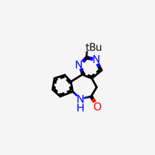 CC(C)(C)c1ncc2c(n1)-c1ccccc1NC(=O)C2